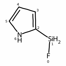 F[SiH2]c1ccc[nH]1